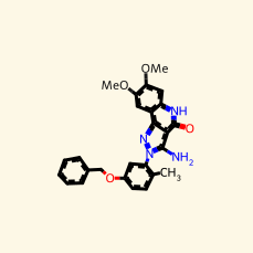 COc1cc2[nH]c(=O)c3c(N)n(-c4cc(OCc5ccccc5)ccc4C)nc3c2cc1OC